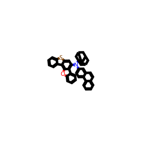 c1ccc2c(c1)ccc1cc(N(c3cc4sc5ccccc5c4c4oc5ccccc5c34)C34CC5CC(CC(C5)C3)C4)ccc12